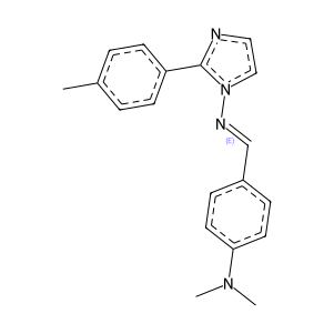 Cc1ccc(-c2nccn2/N=C/c2ccc(N(C)C)cc2)cc1